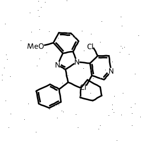 COc1cccc2c1nc(C(c1ccccc1)C1CCCCC1)n2-c1c(Cl)cncc1Cl